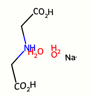 O.O.O=C(O)CNCC(=O)O.[Na]